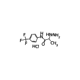 CC(NN)C(=O)Nc1ccc(C(F)(F)F)cc1.Cl